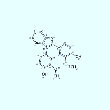 COc1cc(-c2nc3ccccc3n2-c2ccc(O)c(OC)c2)ccc1O